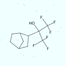 OC(C1CC2CCC1C2)(C(F)(F)F)C(F)(F)F